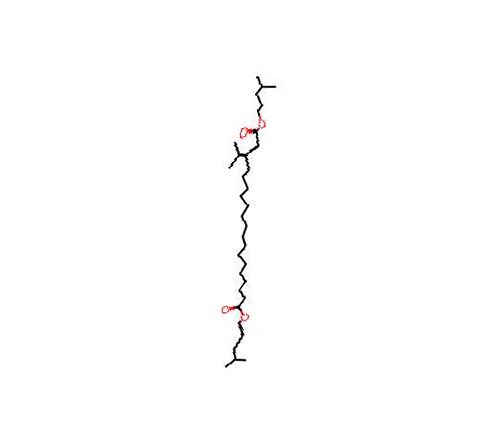 CC(C)CCCOC(=O)CCCCCCCCCCCCCCCC(CC(=O)OCCCC(C)C)C(C)C